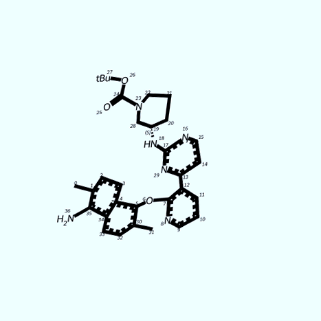 Cc1ccc2c(Oc3ncccc3-c3ccnc(N[C@H]4CCCN(C(=O)OC(C)(C)C)C4)n3)c(C)ccc2c1N